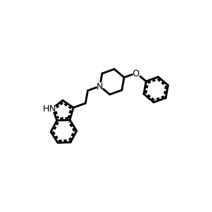 c1ccc(OC2CCN(CCc3c[nH]c4ccccc34)CC2)cc1